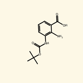 CC(C)(C)OC(=O)Nc1cccc(C(=O)O)c1N